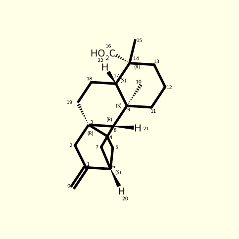 C=C1C[C@]23CC[C@H]1C[C@H]2[C@]1(C)CCC[C@@](C)(C(=O)O)[C@H]1CC3